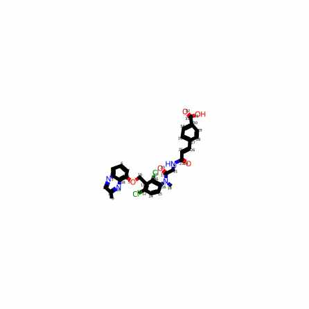 Cc1cnc2cccc(OCc3c(Cl)ccc(N(C)C(=O)CNC(=O)C=Cc4ccc(C(=O)O)cc4)c3Cl)c2n1